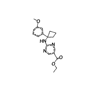 CCOC(=O)c1cnc(NC2(c3cccc(OC)c3)CCC2)nc1